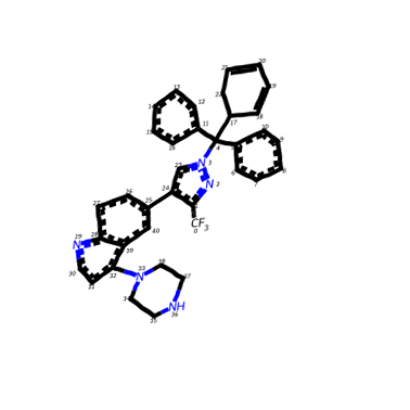 FC(F)(F)c1nn(C(c2ccccc2)(c2ccccc2)C2C=CC=CC2)cc1-c1ccc2nccc(N3CCNCC3)c2c1